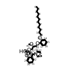 CCCCCCCCCCCCOc1ccccc1OCC(COP(=O)(O)Oc1ccccc1CN1C=CSC1)OC